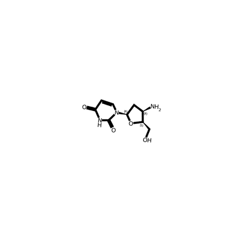 N[C@@H]1C[C@H](n2ccc(=O)[nH]c2=O)O[C@@H]1CO